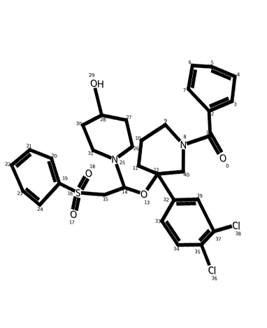 O=C(c1ccccc1)N1CCCC(OC(CS(=O)(=O)c2ccccc2)N2CCC(O)CC2)(c2ccc(Cl)c(Cl)c2)C1